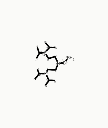 BBN(CCP(C(C)C)C(C)C)CCP(C(C)C)C(C)C